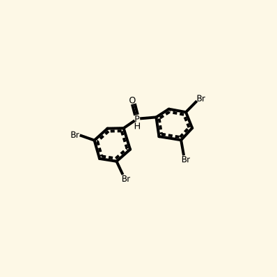 O=[PH](c1cc(Br)cc(Br)c1)c1cc(Br)cc(Br)c1